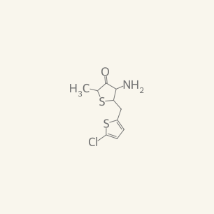 CC1SC(Cc2ccc(Cl)s2)C(N)C1=O